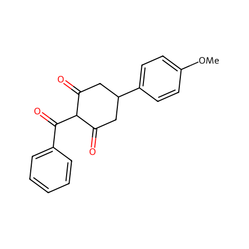 COc1ccc(C2CC(=O)C(C(=O)c3ccccc3)C(=O)C2)cc1